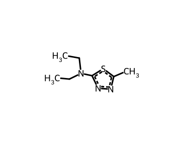 CCN(CC)c1nnc(C)s1